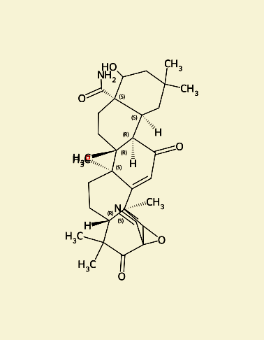 CC1(C)CC(O)[C@]2(C(N)=O)CC[C@]3(C)[C@H](C(=O)C=C4[C@@]5(C)C6OC6(C#N)C(=O)C(C)(C)[C@@H]5CC[C@]43C)[C@@H]2C1